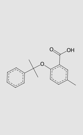 Cc1ccc(OC(C)(C)c2ccccc2)c(C(=O)O)c1